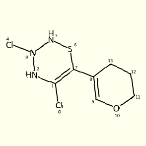 Clc1[nH]n(Cl)[nH]sc1C1=COCCC1